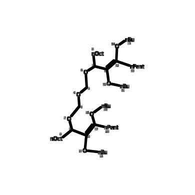 CCCCCCCCC(OCOCOC(CCCCCCCC)C(OCCCC)=C(CCCCC)OCCCC)C(OCCCC)=C(CCCCC)OCCCC